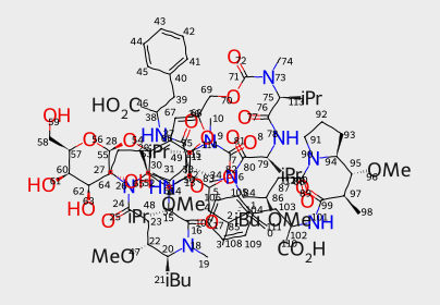 C=CC(C)CC(OC(=O)N(C)[C@H](C(=O)N[C@H](C(=O)N(C)[C@@H](C(C)CC)[C@@H](CC(=O)N1CCC[C@H]1[C@H](OC)[C@@H](C)C(=O)NC(Cc1ccccc1)C(=O)O)OC)C(C)C)C(C)C)c1ccc(O[C@@H]2O[C@H](CO)[C@H](O)[C@H](O)[C@H]2O)c2cc(COC(=O)N(C)[C@H](C(=O)N[C@H](C(=O)N(C)[C@@H](C(C)CC)[C@@H](CC(=O)N3CCC[C@H]3[C@H](OC)[C@@H](C)C(=O)NC(Cc3ccccc3)C(=O)O)OC)C(C)C)C(C)C)oc12